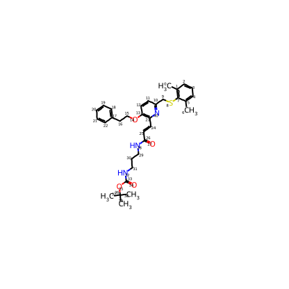 Cc1cccc(C)c1SCc1ccc(OCCc2ccccc2)c(/C=C/C(=O)NCCCNC(=O)OC(C)(C)C)n1